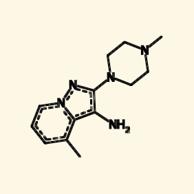 Cc1cccn2nc(N3CCN(C)CC3)c(N)c12